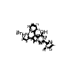 CC(C)n1ccc(-c2cn3nc(-c4nccn4C)nc(O)c3c2-c2ccccn2)n1